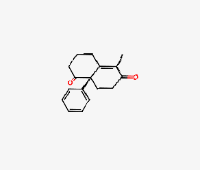 CC1=C2CCCC(=O)[C@@]2(c2ccccc2)CCC1=O